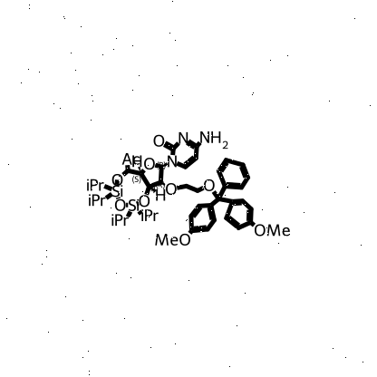 COc1ccc(C(OCCO[C@@H]2[C@@H]3O[Si](C(C)C)(C(C)C)O[Si](C(C)C)(C(C)C)OC(C(C)=O)[C@H]3O[C@H]2n2ccc(N)nc2=O)(c2ccccc2)c2ccc(OC)cc2)cc1